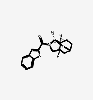 O=C(c1cc2ccccc2s1)N1C[C@H]2CC3CC[C@H]2[C@H]1C3